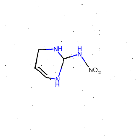 O=[N+]([O-])NC1NC=CCN1